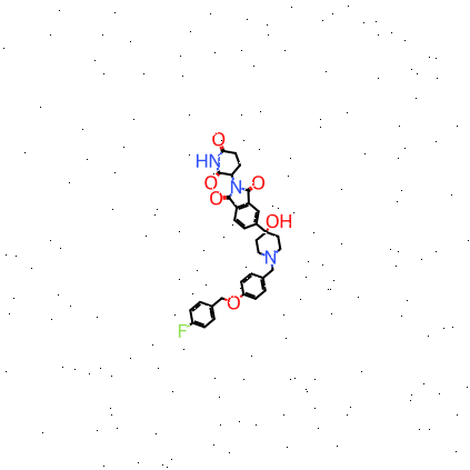 O=C1CCC(N2C(=O)c3ccc(C4(O)CCN(Cc5ccc(OCc6ccc(F)cc6)cc5)CC4)cc3C2=O)C(=O)N1